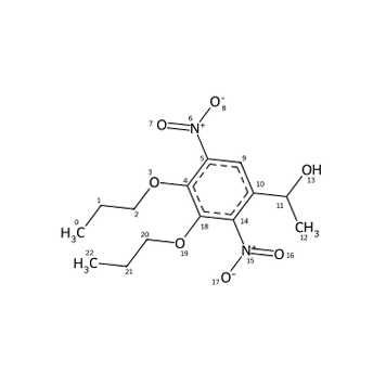 CCCOc1c([N+](=O)[O-])cc(C(C)O)c([N+](=O)[O-])c1OCCC